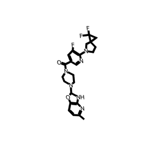 Cc1ccc2c(n1)NC(N1CCN(C(=O)c3cnc(N4CCC5(C4)CC5(F)F)c(F)c3)CC1)O2